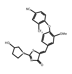 COc1cc(/C=C2\SC(N3CCC(O)C3)=NC2=O)ccc1Oc1ccc(C#N)cc1C(F)(F)F